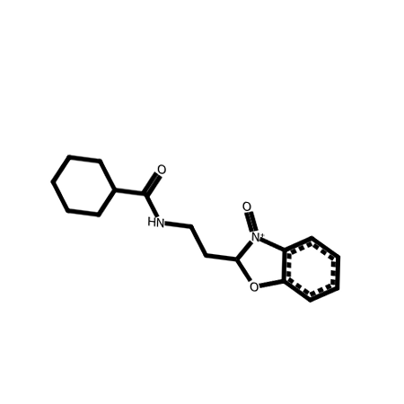 O=C(NCCC1Oc2ccccc2[N+]1=O)C1CCCCC1